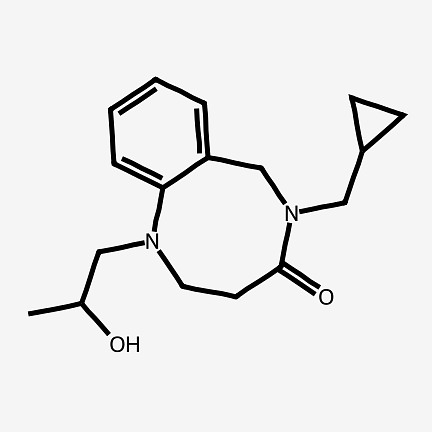 CC(O)CN1CCC(=O)N(CC2CC2)Cc2ccccc21